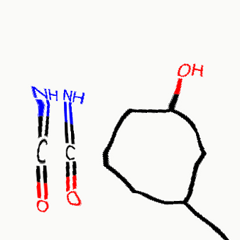 CC1CCCC(O)C1.N=C=O.N=C=O